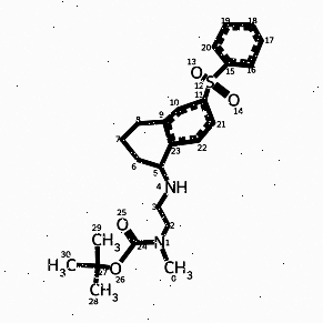 CN(CCNC1CCCc2cc(S(=O)(=O)c3ccccc3)ccc21)C(=O)OC(C)(C)C